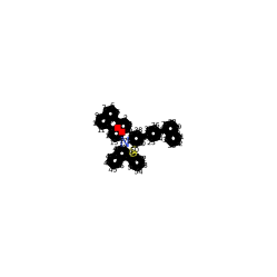 c1ccc(-c2cccc3cccc(-c4ccc(N(c5ccc(-c6ccc(-c7cccc8ccccc78)cc6)cc5)c5cc6ccccc6c6c5sc5ccccc56)cc4)c23)cc1